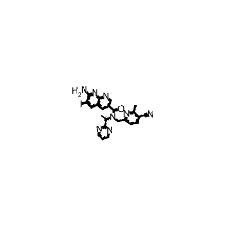 Cc1nc(CN(C(=O)c2cnc3nc(N)c(I)cc3c2)[C@H](C)c2ncccn2)ccc1C#N